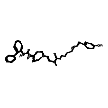 CN(CCN1CCC(OC(=O)Nc2ccccc2-c2ccccc2)CC1)C(=O)CCCCCNCCc1ccc(O)cc1